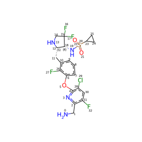 NCc1nc(Oc2cccc(C[C@@H]3NCC(F)(F)[C@@H]3NS(=O)(=O)C3CC3)c2F)c(Cl)cc1F